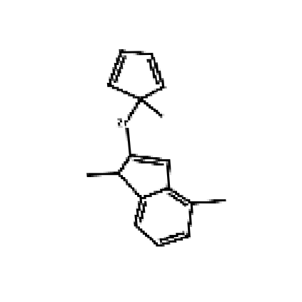 Cc1cccc2c1C=[C]([Zr][C]1(C)C=CC=C1)C2C